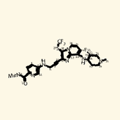 CNC(=O)c1ccc(NCC#Cc2nc3c(N[C@@H]4CCN(C)C[C@@H]4F)cccn3c2SC(F)(F)F)cn1